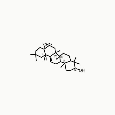 CC1(C)CCC2(C=O)CC[C@@]3(C)C(=CCC4[C@@]5(C)CC[C@H](O)C(C)(C)C5CC[C@]43C)[C@@H]2C1